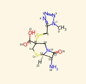 Cn1nnnc1CSC1(C(=O)O)CS[C@@H]2C(N)C(=O)N2C1